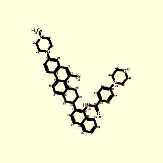 CN1CCN(c2ccc3c(c2)cc(Br)c2c4c(ccc23)CC(c2ccc3ccccc3c2NC(=O)c2ccc(N3CCOCC3)cc2)CC4)CC1